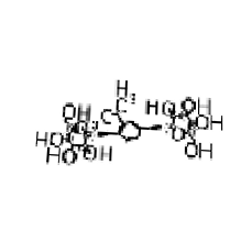 CC(C)c1cc(C#C[C@H]2O[C@H](CO)[C@@H](O)[C@H](O)[C@@H]2O)ccc1C#C[C@H]1O[C@H](CO)[C@@H](O)C(O)[C@@H]1O